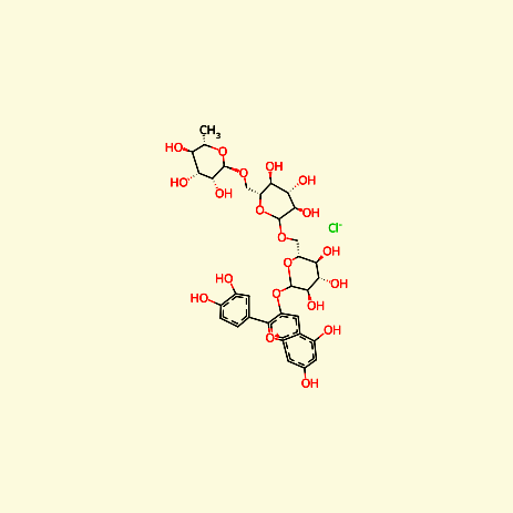 C[C@@H]1O[C@@H](OC[C@H]2OC(OC[C@H]3OC(Oc4cc5c(O)cc(O)cc5[o+]c4-c4ccc(O)c(O)c4)[C@H](O)[C@@H](O)[C@@H]3O)[C@H](O)[C@@H](O)[C@@H]2O)[C@H](O)[C@H](O)[C@H]1O.[Cl-]